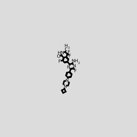 CC1NC(=O)c2c(F)cc(-c3nc(-c4ccc(N5CCN(C6CCC6)CC5)cc4)c(F)nc3N)cc2C1(F)F